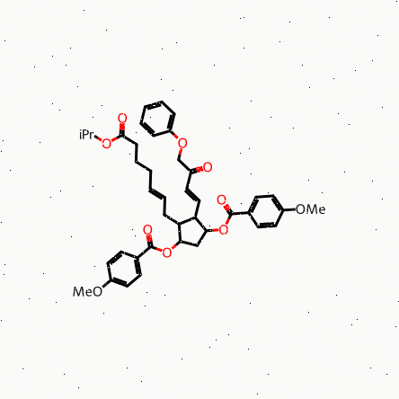 COc1ccc(C(=O)OC2CC(OC(=O)c3ccc(OC)cc3)C(CC=CCCCC(=O)OC(C)C)C2C=CC(=O)COc2ccccc2)cc1